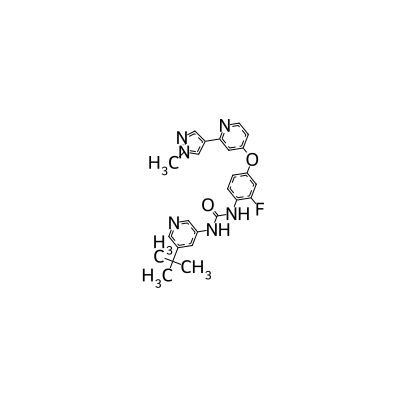 Cn1cc(-c2cc(Oc3ccc(NC(=O)Nc4cncc(C(C)(C)C)c4)c(F)c3)ccn2)cn1